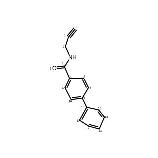 C#CCNC(=O)c1ccc(-c2ccccc2)cc1